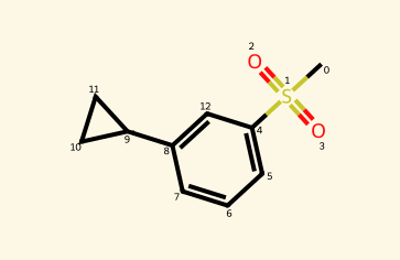 CS(=O)(=O)c1cccc([C]2CC2)c1